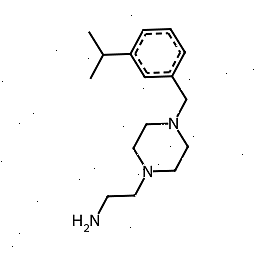 CC(C)c1cccc(CN2CCN(CCN)CC2)c1